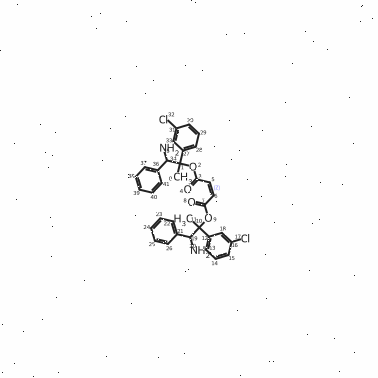 CC(OC(=O)/C=C\C(=O)OC(C)(c1cccc(Cl)c1)C(N)c1ccccc1)(c1cccc(Cl)c1)C(N)c1ccccc1